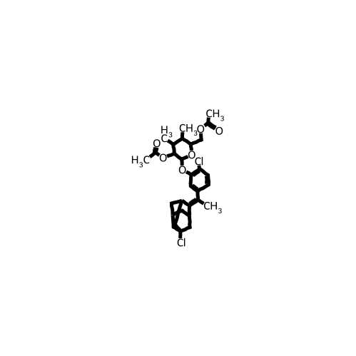 CC(=O)OCC1OC(Oc2cc(C(C)=C3C4CC5CC3CC(Cl)(C5)C4)ccc2Cl)C(OC(C)=O)C(C)C1C